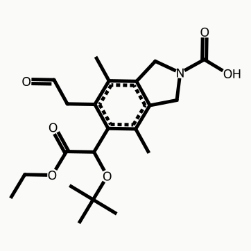 CCOC(=O)C(OC(C)(C)C)c1c(C)c2c(c(C)c1CC=O)CN(C(=O)O)C2